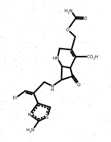 CCC=C(CNC1C(=O)C2C(C(=O)O)=C(COC(N)=O)CNC12)c1csc(N)n1